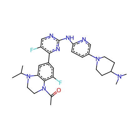 CC(=O)N1CCN(C(C)C)c2cc(-c3nc(Nc4ccc(N5CCC(N(C)C)CC5)cn4)ncc3F)cc(F)c21